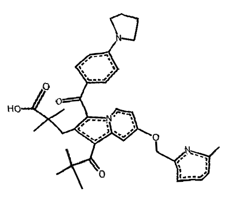 Cc1cccc(COc2ccn3c(C(=O)c4ccc(N5CCCC5)cc4)c(CC(C)(C)C(=O)O)c(C(=O)C(C)(C)C)c3c2)n1